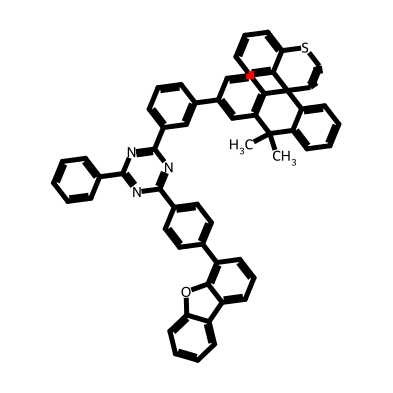 CC1(C)c2ccccc2C2(c3ccccc3Sc3ccccc32)c2ccc(-c3cccc(-c4nc(-c5ccccc5)nc(-c5ccc(-c6cccc7c6oc6ccccc67)cc5)n4)c3)cc21